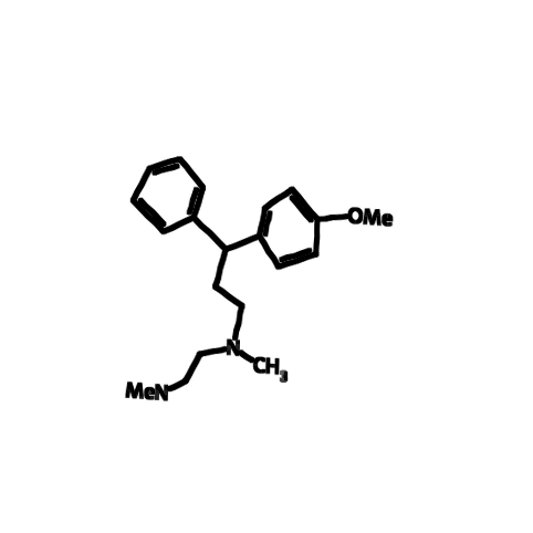 CNCCN(C)CCC(c1ccccc1)c1ccc(OC)cc1